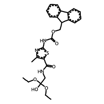 CCOC(O)(CNC(=O)c1sc(NC(=O)OCC2c3ccccc3-c3ccccc32)nc1C)OCC